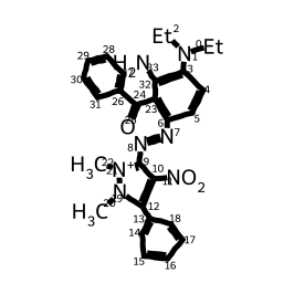 CCN(CC)c1ccc(N=Nc2c([N+](=O)[O-])c(-c3ccccc3)n(C)[n+]2C)c(C(=O)c2ccccc2)c1N